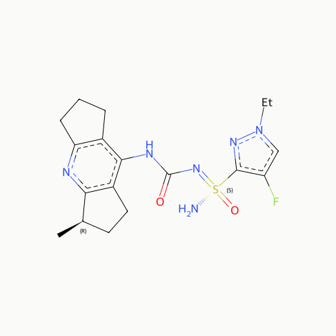 CCn1cc(F)c([S@@](N)(=O)=NC(=O)Nc2c3c(nc4c2CC[C@H]4C)CCC3)n1